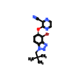 CC(C)(C)Cn1nnc2c(Br)c(Oc3nccnc3C#N)ccc21